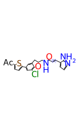 CC(=O)c1ccc(-c2cc(Cl)c3c(c2)CC(CNC(=O)/C=C/c2cccnc2N)O3)s1